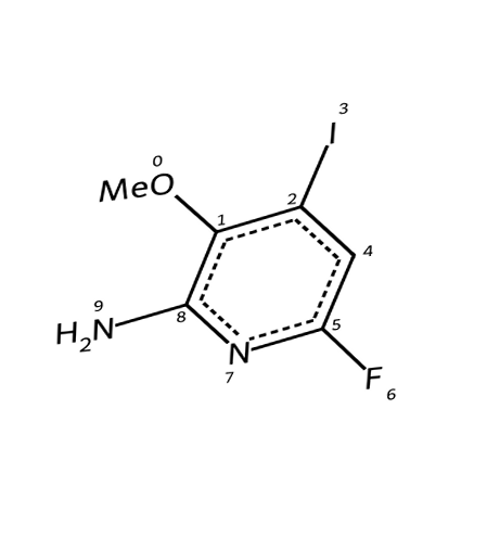 COc1c(I)cc(F)nc1N